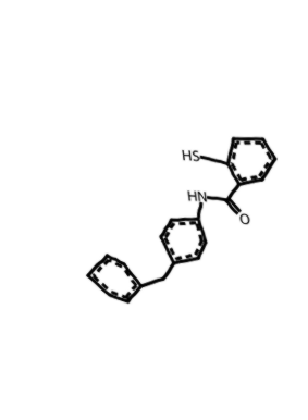 O=C(Nc1ccc(Cc2ccccc2)cc1)c1ccccc1S